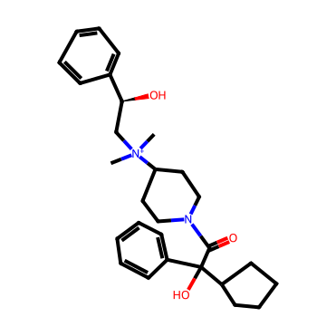 C[N+](C)(C[C@H](O)c1ccccc1)C1CCN(C(=O)C(O)(c2ccccc2)C2CCCC2)CC1